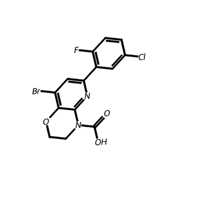 O=C(O)N1CCOc2c(Br)cc(-c3cc(Cl)ccc3F)nc21